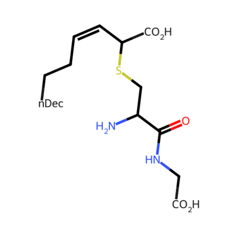 CCCCCCCCCCCC/C=C\C(SCC(N)C(=O)NCC(=O)O)C(=O)O